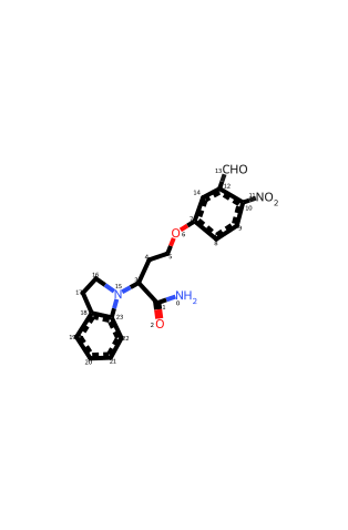 NC(=O)C(CCOc1ccc([N+](=O)[O-])c(C=O)c1)N1CCc2ccccc21